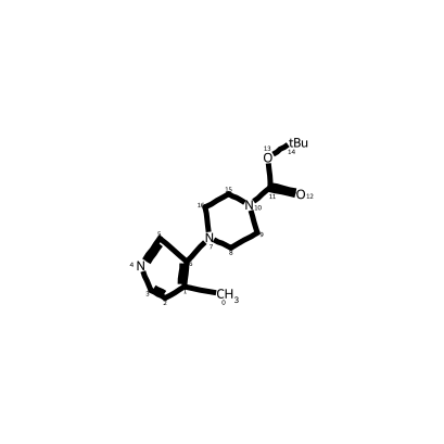 Cc1ccncc1N1CCN(C(=O)OC(C)(C)C)CC1